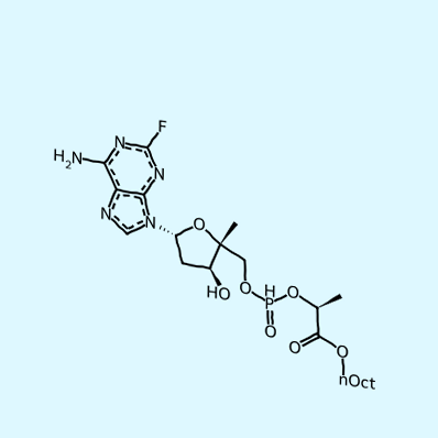 CCCCCCCCOC(=O)[C@H](C)O[PH](=O)OC[C@@]1(C)O[C@@H](n2cnc3c(N)nc(F)nc32)C[C@@H]1O